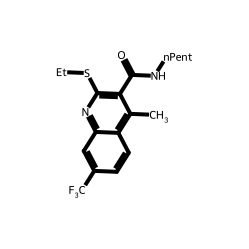 CCCCCNC(=O)c1c(SCC)nc2cc(C(F)(F)F)ccc2c1C